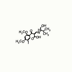 COc1cc(OC)c(C(=O)C(=CNC(CO)C(C)C)C(=O)O)cc1I